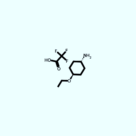 CCO[C@H]1CC[C@H](N)CC1.O=C(O)C(F)(F)F